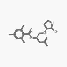 Cc1cc(C)c(C(=O)N[C@@H](CN[C@H]2CCOC2O)CC(C)C)c(C)c1